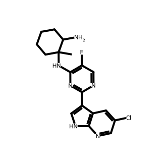 CC1(Nc2nc(-c3c[nH]c4ncc(Cl)cc34)ncc2F)CCCCC1N